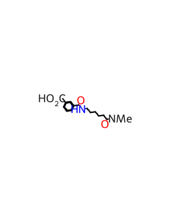 CNC(=O)CCCCCNC(=O)c1cccc(C(=O)O)c1